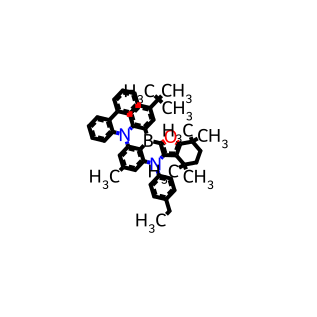 CCc1ccc(N2c3cc(C)cc4c3B(c3cc(C(C)(C)C)ccc3N4c3ccccc3-c3ccccc3)c3oc4c(c32)C(C)(C)CCC4(C)C)cc1